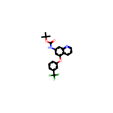 CC(C)(C)OC(=O)Nc1cc(Oc2cccc(C(F)(F)F)c2)c2cccnc2c1